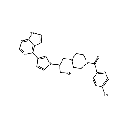 N#CCC(CN1CCN(C(=O)c2ccc(C#N)cc2)CC1)n1ccc(-c2ncnc3[nH]ccc23)c1